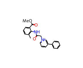 COC(=O)c1cccc(C)c1NC(=O)C[n+]1cccc(-c2ccccc2)c1